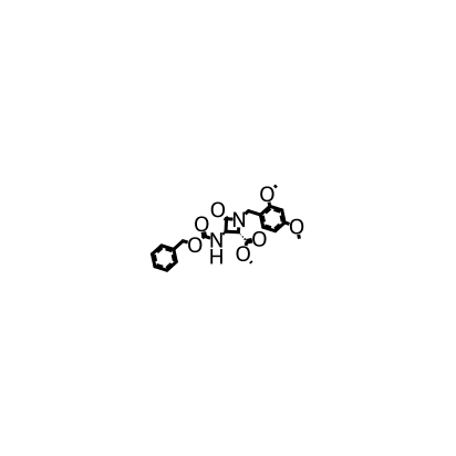 COC(=O)[C@@H]1[C@@H](NC(=O)OCc2ccccc2)C(=O)N1Cc1ccc(OC)cc1OC